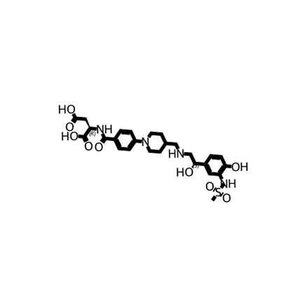 CS(=O)(=O)Nc1cc([C@H](O)CNCC2CCN(c3ccc(C(=O)N[C@H](CC(=O)O)C(=O)O)cc3)CC2)ccc1O